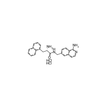 Cl.Cl.Nc1nccc2cc(CNC(=O)[C@@H](N)Cc3cccc4ccccc34)ccc12